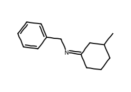 CC1CCCC(=NCc2ccccc2)C1